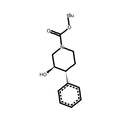 CC(C)(C)OC(=O)N1CC[C@H](c2ccccc2)[C@@H](O)C1